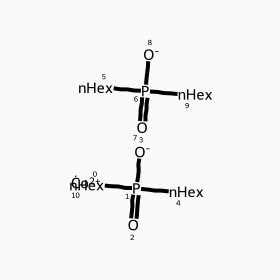 CCCCCCP(=O)([O-])CCCCCC.CCCCCCP(=O)([O-])CCCCCC.[Co+2]